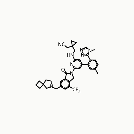 Cc1ccc(-c2nncn2C)c(-c2cc(NCC3(CC#N)CC3)nc(N3Cc4c(cc(CN5CCC6(CCC6)C5)cc4C(F)(F)F)C3=O)c2)c1